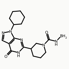 BNC(=O)N1CCCC(c2nc3c(cnn3C3CCCCC3)c(=O)[nH]2)C1